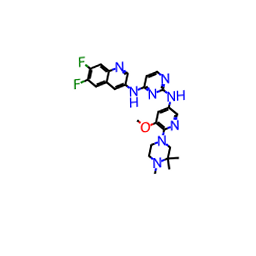 COc1cc(Nc2nccc(Nc3cnc4cc(F)c(F)cc4c3)n2)cnc1N1CCN(C)C(C)(C)C1